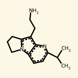 CC(C)c1ccc2c(n1)c(CCN)c1n2CCC1